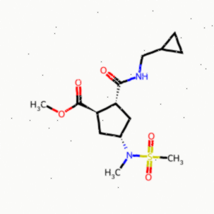 COC(=O)[C@@H]1C[C@@H](N(C)S(C)(=O)=O)C[C@H]1C(=O)NCC1CC1